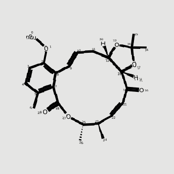 CCCCOc1ccc(C)c2c1/C=C/C[C@@H]1OC(C)(C)O[C@@H]1C(=O)/C=C\[C@@H](C)[C@H](C)OC2=O